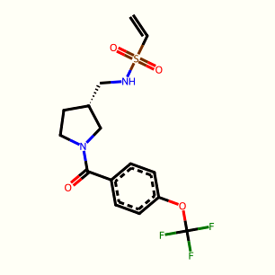 C=CS(=O)(=O)NC[C@H]1CCN(C(=O)c2ccc(OC(F)(F)F)cc2)C1